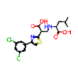 CC(C)CC(NCC(C(=O)O)c1nc(-c2cc(Cl)cc(Cl)c2)cs1)C(=O)O